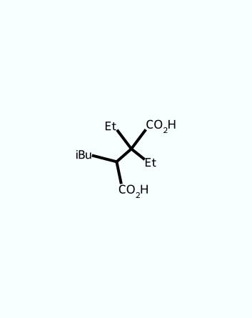 CCC(C)C(C(=O)O)C(CC)(CC)C(=O)O